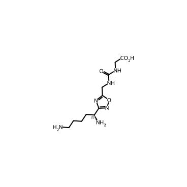 NCCCC[C@H](N)c1noc(CNC(=O)NCC(=O)O)n1